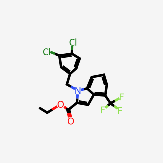 CCOC(=O)c1cc2c(C(F)(F)F)cccc2n1Cc1ccc(Cl)c(Cl)c1